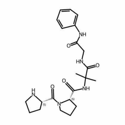 CC(C)(NC(=O)[C@@H]1CCCN1C(=O)[C@@H]1CCCN1)C(=O)NCC(=O)Nc1ccccc1